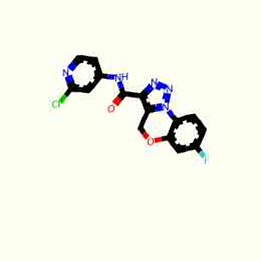 O=C(Nc1ccnc(Cl)c1)c1nnn2c1COc1cc(F)ccc1-2